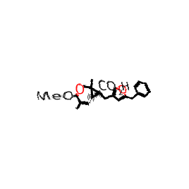 COC(=O)C(C)=C[C@@H]1C(C)(C)[C@]1(Cc1coc(Cc2ccccc2)c1)C(=O)O